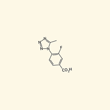 Cc1nnnn1-c1ccc(C(=O)O)cc1F